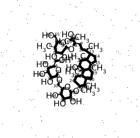 C[C@H]1[C@H](O)[C@@H](O)[C@H](O[C@H](CC[C@@H](C)C2CC[C@@]3(C)C4CC=C5C(CC[C@H](O[C@@H]6O[C@H](CO[C@@H]7O[C@H](CO)[C@@H](O)[C@H](O)[C@H]7O)[C@@H](O)[C@H](O)[C@H]6O)C5(C)C)[C@]4(C)[C@H](O)C[C@]23C)C(C)(C)O)O[C@@H]1CO